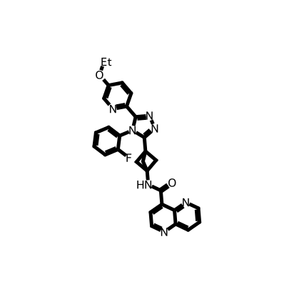 CCOc1ccc(-c2nnc(C34CC(NC(=O)c5ccnc6cccnc56)(C3)C4)n2-c2ccccc2F)nc1